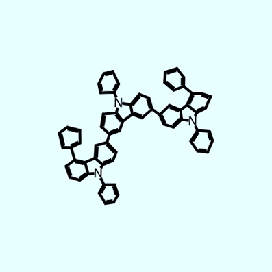 c1ccc(-c2cccc3c2c2cc(-c4ccc5c(c4)c4cc(-c6ccc7c(c6)c6c(-c8ccccc8)cccc6n7-c6ccccc6)ccc4n5-c4ccccc4)ccc2n3-c2ccccc2)cc1